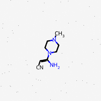 CN1CCN(C(N)=CC#N)CC1